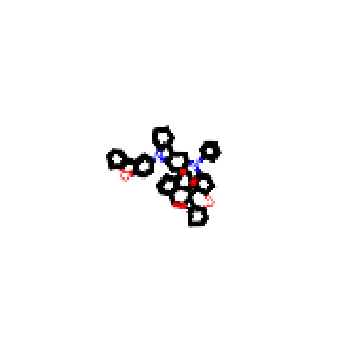 c1ccc(N(c2ccc3c(c2)C2(c4ccccc4O3)c3ccccc3-c3cccc4cccc2c34)c2ccc3c(c2)c2ccccc2n3-c2ccc3oc4ccccc4c3c2)cc1